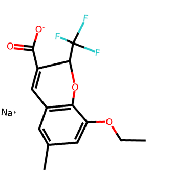 CCOc1cc(C)cc2c1OC(C(F)(F)F)C(C(=O)[O-])=C2.[Na+]